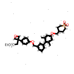 CCOC(=O)CC1(c2ccc(OCc3cccc(-c4c(C)cc(OCC5CCS(=O)(=O)CC5)cc4C)c3)cc2)COC1